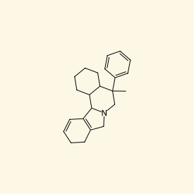 CC1(c2ccccc2)CN2CC3=C(C=CCC3)C2C2CCCCC21